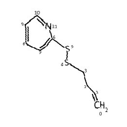 C=CCCSSc1ccccn1